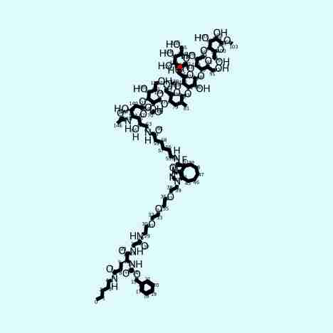 CCCCCNC(=O)CC[C@H](NC(=O)OCc1ccccc1)C(=O)NCC(=O)NCCOCCOCCOCCn1nnc2c1CCCCCC2(F)C(=O)NCCCCCC(=O)NCC(O)C1O[C@@](OC=O)(O[C@@H]2C(O)[C@H](O[C@H]3CC(C)[C@H](O[C@@H]4C(O)[C@@H](O[C@H]5C(CO)O[C@@H](O[C@@H]6C(CO)O[C@@H](OC)C(O)[C@H]6O)C(O)[C@H]5O[C@@H]5OC(CO)[C@@H](O)[C@H](O)C5O)OC(CO)[C@H]4OC)OC3CO)OC(CO)[C@@H]2O)C[C@@H](O)[C@@H]1NC(C)=O